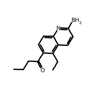 Bc1ccc2c(CC)c(C(=O)CCC)ccc2n1